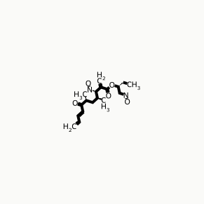 C=C/C=C/C(=O)[C@H](C)C[C@H](C)[C@H](N=O)C(=C)C(=O)O[C@H](CC)CN=O